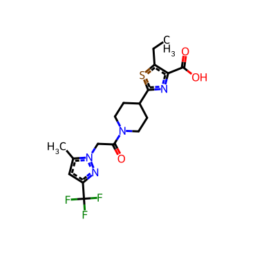 CCc1sc(C2CCN(C(=O)Cn3nc(C(F)(F)F)cc3C)CC2)nc1C(=O)O